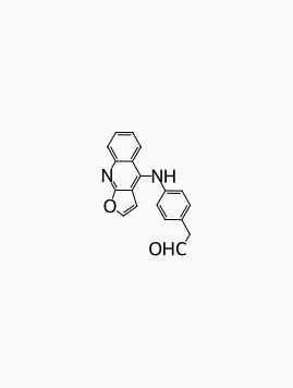 O=CCc1ccc(Nc2c3ccccc3nc3occc23)cc1